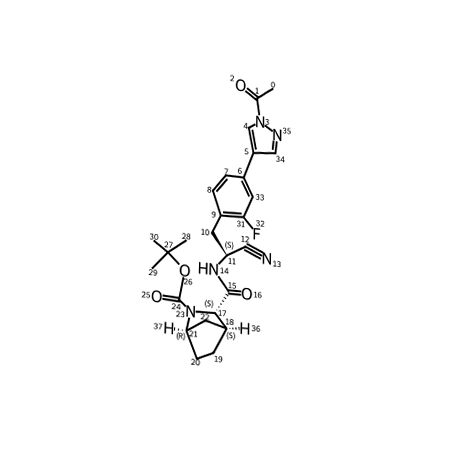 CC(=O)n1cc(-c2ccc(C[C@@H](C#N)NC(=O)[C@@H]3[C@H]4CC[C@H](C4)N3C(=O)OC(C)(C)C)c(F)c2)cn1